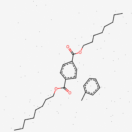 CCCCCCCCOC(=O)c1ccc(C(=O)OCCCCCCCC)cc1.Cc1ccccc1